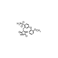 COc1ccccc1Oc1ccc(S(N)(=O)=O)c(CC2NC(=O)NC2=O)c1